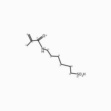 C=C(C)C(=O)NCCCCCCS(=O)(=O)O